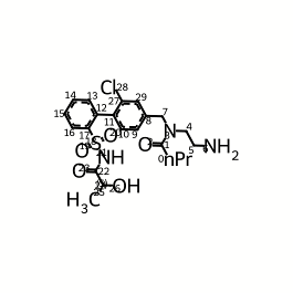 CCCC(=O)N(CCN)Cc1ccc(-c2ccccc2S(=O)(=O)NC(=O)[C@H](C)O)c(Cl)c1